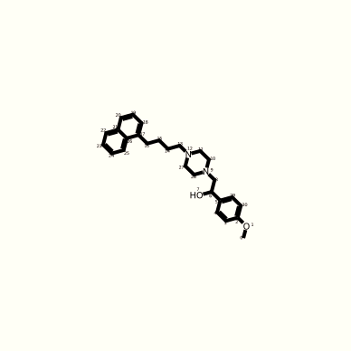 COc1ccc(C(O)CN2CCN(CCCCc3cccc4ccccc34)CC2)cc1